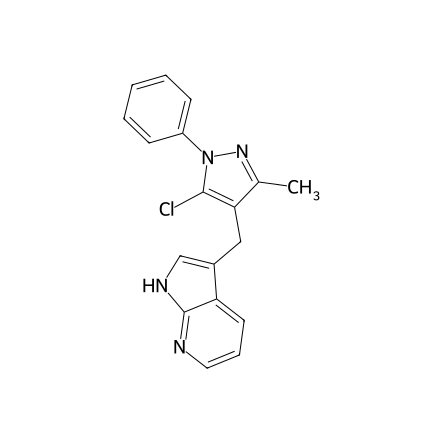 Cc1nn(-c2ccccc2)c(Cl)c1Cc1c[nH]c2ncccc12